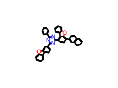 C1=Cc2ccc(-c3ccc(-c4nc(-c5ccccc5)nc(-c5ccc6c(c5)oc5ccccc56)n4)c4c3oc3ccccc34)cc2CC1